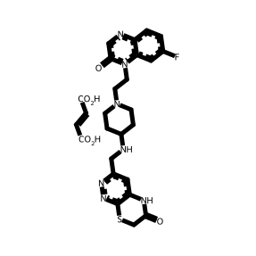 O=C(O)/C=C/C(=O)O.O=C1CSc2nnc(CNC3CCN(CCn4c(=O)cnc5ccc(F)cc54)CC3)cc2N1